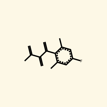 C=C(C)C(=C)C(=C)c1c(C)cc(F)cc1C